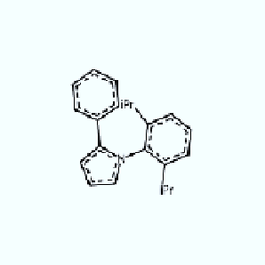 CC(C)c1cccc(C(C)C)c1-n1cccc1-c1ccccc1